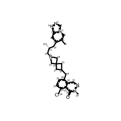 Cc1cn2cnnc2cc1C[C@@H](C)CN1CC2(CC(Cc3ccc(Cl)c4c(=O)n(C)ncc34)C2)C1